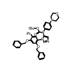 CC(C)c1cc(-n2nncc2N(C(=O)OC(C)(C)C)c2ccc(N3CCOCC3)cc2)c(OCc2ccccc2)cc1OCc1ccccc1